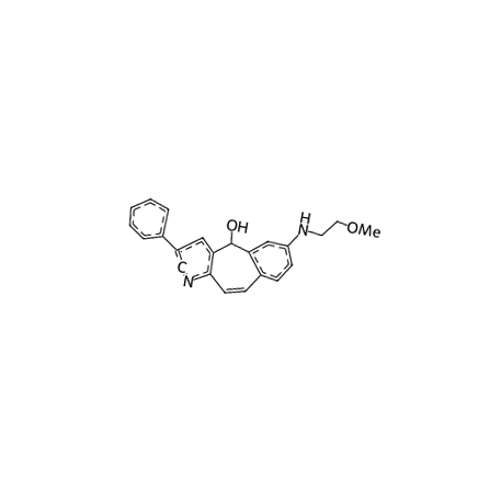 COCCNc1ccc2c(c1)C(O)c1cc(-c3ccccc3)cnc1C=C2